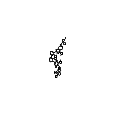 CCOC(=O)CN1CCc2c(cc(-c3cccc(-c4cccc(-c5cnc(CN6CC7(CCC(=O)N7)C6)c(OC)n5)c4Cl)c3Cl)nc2OC)C1